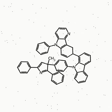 CC1(c2ccc(-n3c4ccccc4c4cccc(C5C=Cc6c(c7ncccc7n6-c6ccccc6)C5)c43)cc2)C=C(c2ccccc2)N=C1c1ccccc1